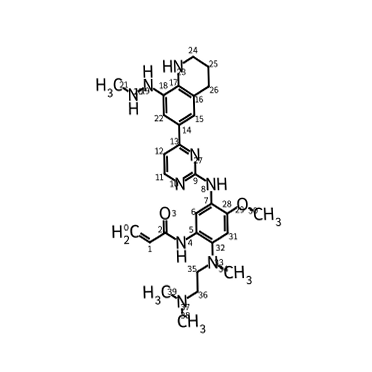 C=CC(=O)Nc1cc(Nc2nccc(-c3cc4c(c(NNC)c3)NCCC4)n2)c(OC)cc1N(C)CCN(C)C